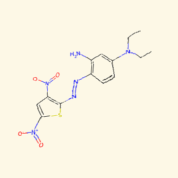 CCN(CC)c1ccc(/N=N/c2sc([N+](=O)[O-])cc2[N+](=O)[O-])c(N)c1